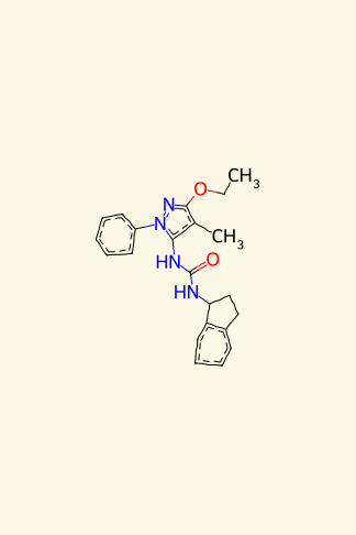 CCOc1nn(-c2ccccc2)c(NC(=O)NC2CCc3ccccc32)c1C